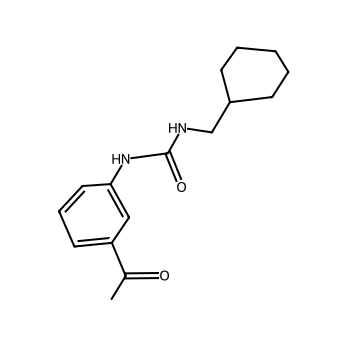 CC(=O)c1cccc(NC(=O)NCC2CCCCC2)c1